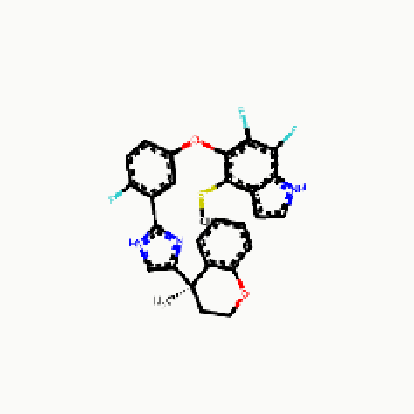 CSc1c(Oc2ccc(F)c(-c3nc([C@]4(C)CCOc5ccccc54)c[nH]3)c2)c(F)c(F)c2[nH]ccc12